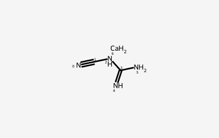 N#CNC(=N)N.[CaH2]